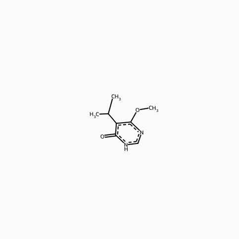 COc1nc[nH]c(=O)c1C(C)C